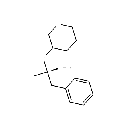 C[C@@](C=O)(Cc1ccccc1)OC1CCCOC1